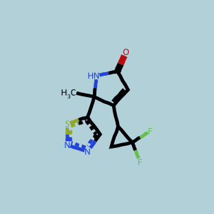 CC1(c2cnns2)NC(=O)C=C1C1CC1(F)F